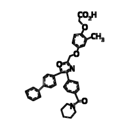 Cc1cc(OCc2nc(-c3ccc(C(=O)N4CCCCC4)cc3)c(-c3ccc(-c4ccccc4)cc3)o2)ccc1OCC(=O)O